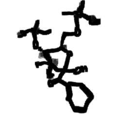 CC(C)(C)[Si](C)(C)OC[C@H]1OC(O)(C(=O)c2ccccc2)[C@](F)(Br)[C@@H]1O[Si](C)(C)C(C)(C)C